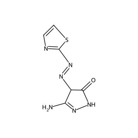 NC1=NNC(=O)C1N=Nc1nccs1